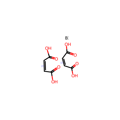 O=C(O)/C=C\C(=O)O.O=C(O)/C=C\C(=O)O.[B]